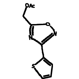 CC(=O)OCc1nc(-c2cccs2)no1